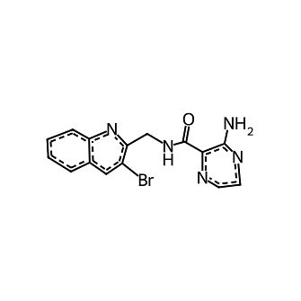 Nc1nccnc1C(=O)NCc1nc2ccccc2cc1Br